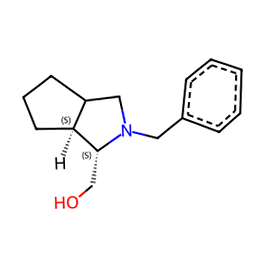 OC[C@@H]1[C@H]2CCCC2CN1Cc1ccccc1